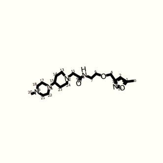 Cc1cc(COCCNC(=O)CN2CCC(N3CCN(C)CC3)CC2)no1